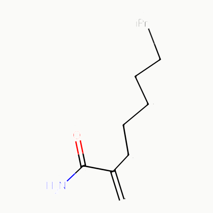 C=C(CCCCCC(C)C)C(N)=O